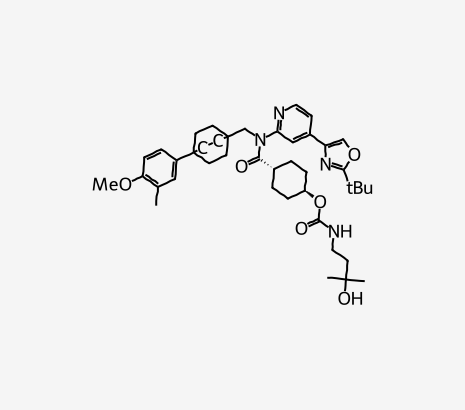 COc1ccc(C23CCC(CN(c4cc(-c5coc(C(C)(C)C)n5)ccn4)C(=O)[C@H]4CC[C@H](OC(=O)NCCC(C)(C)O)CC4)(CC2)CC3)cc1C